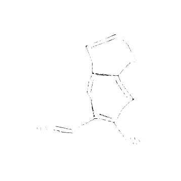 C=Cc1cc2ccsc2cc1SC